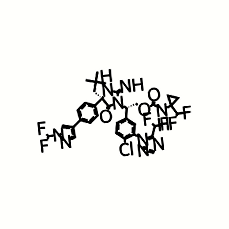 CC(C)(C)C[C@]1(c2ccc(-c3cnn(C(F)F)c3)cc2)NC(=N)N([C@H](COC(=O)NC2(C(F)F)CC2)c2ccc(Cl)c(-n3ncnc3C(F)F)c2)C1=O